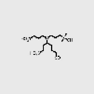 C[Si](C)(O)CCCN(CCCS(=O)(=O)O)C(CCCS(=O)(=O)O)CCS(=O)(=O)O